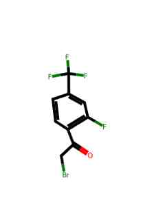 O=C(CBr)c1ccc(C(F)(F)F)cc1F